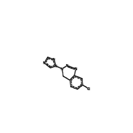 Clc1ccc2c(c1)N=NN(n1cncn1)C2